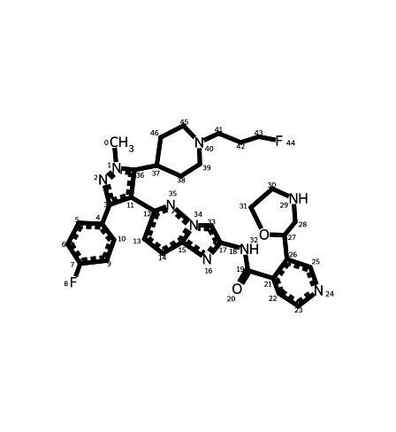 Cn1nc(-c2ccc(F)cc2)c(-c2ccc3nc(NC(=O)c4ccncc4C4CNCCO4)cn3n2)c1C1CCN(CCCF)CC1